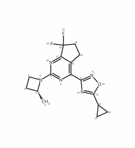 C[C@H]1CCN1c1nc(-c2noc(C3CC3)n2)c2c(n1)C(F)(F)CC2